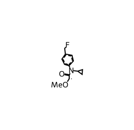 CO[CH]C(=O)N(c1ccc(CF)cc1)C1CC1